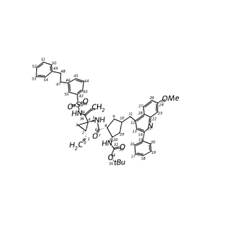 C=C[C@@H]1C[C@]1(NC(=O)[C@@H]1CC(Cc2cc(-c3ccccc3)nc3cc(OC)ccc23)C[C@@H]1NC(=O)OC(C)(C)C)C(=C)NS(=O)(=O)c1cccc(CCc2ccccc2)c1